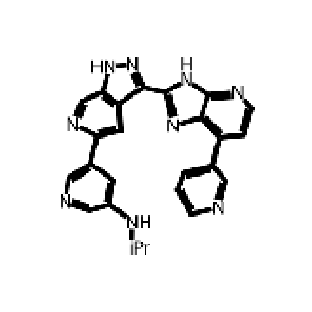 CC(C)Nc1cncc(-c2cc3c(-c4nc5c(-c6cccnc6)ccnc5[nH]4)n[nH]c3cn2)c1